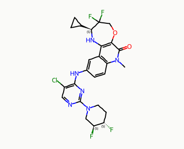 Cn1c(=O)c2c(c3cc(Nc4nc(N5CC[C@H](F)[C@@H](F)C5)ncc4Cl)ccc31)N[C@@H](C1CC1)C(F)(F)CO2